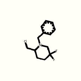 FC1(F)CCC(CCl)N(Cc2ccccc2)C1